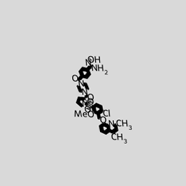 COc1c(S(=O)(=O)N2CCC[C@H]2C(=O)N2CCN(C(=O)c3ccc(C(N)=NO)cc3)CC2)ccc(Cl)c1COc1cccc2c(C)cc(C)nc12